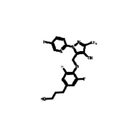 Cc1nn(-c2ccc(F)cn2)c(COc2c(F)cc(CCCO)cc2F)c1C#N